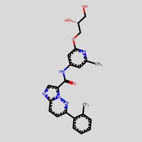 Cc1cc(NC(=O)c2cnc3ccc(-c4ccccc4C(F)(F)F)nn23)cc(OC[C@H](O)CO)n1